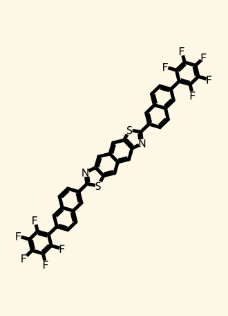 Fc1c(F)c(F)c(-c2ccc3cc(-c4nc5cc6cc7sc(-c8ccc9cc(-c%10c(F)c(F)c(F)c(F)c%10F)ccc9c8)nc7cc6cc5s4)ccc3c2)c(F)c1F